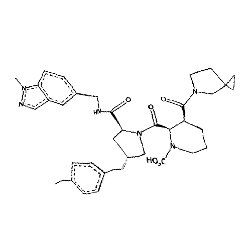 Cc1ccc(C[C@@H]2C[C@@H](C(=O)NCc3ccc4c(cnn4C)c3)N(C(=O)[C@H]3[C@@H](C(=O)N4CCC5(CC5)C4)CCCN3C(=O)O)C2)cc1